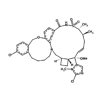 CO[C@@]1(c2cnc(Cl)n2C)/C=C/C[C@H](C)[C@@H](C)S(=O)(=O)NC(=O)c2ccc3c(c2)N(CCCCc2cc(Cl)ccc2CO3)C[C@@H]2CC[C@H]21